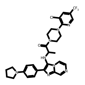 CC(Nc1c(-c2ccc(N3CCCC3)cc2)nc2cnccn12)C(=O)N1CCN(c2ncc(C(F)(F)F)cc2Cl)CC1